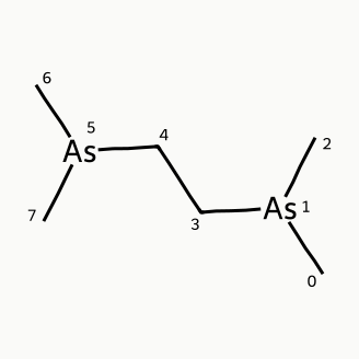 C[As](C)CC[As](C)C